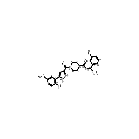 COc1cc(-c2cc(C(=O)N3CCC(C(=O)NC(C)c4cccc(F)c4)CC3)n[nH]2)c(Cl)cn1